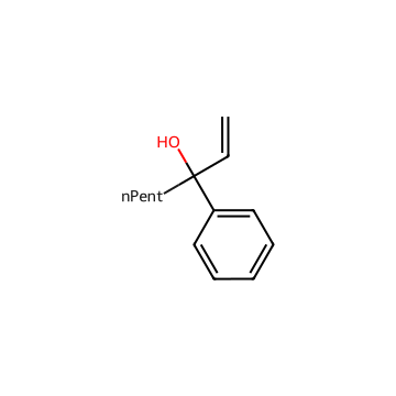 C=CC(O)(CCCCC)c1ccccc1